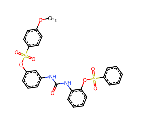 COc1ccc(S(=O)(=O)Oc2cccc(NC(=O)Nc3ccccc3OS(=O)(=O)c3ccccc3)c2)cc1